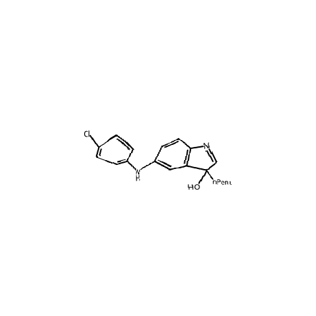 CCCCCC1(O)C=Nc2ccc(Nc3ccc(Cl)cc3)cc21